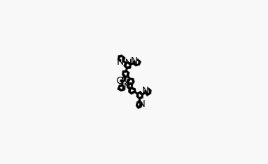 O=c1c2ccccc2n2c3ccc(-c4cc(-c5ccccn5)cc(-c5ccccn5)c4)cc3c3ccc4c5cc(-c6cc(-c7ccccn7)nc(-c7ccccn7)c6)ccc5n1c4c32